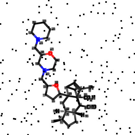 CC(C)C1=CC2CC3(C=O)[C@@H]4CC[C@@H](C)[C@H]4CC2(C2CCC(CN4CCOC(CN5CCCCC5)C4)O2)C13C(=O)O